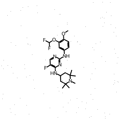 COc1ccc(Nc2ncc(F)c(NC3CC(C)(C)N(C)C(C)(C)C3)n2)cc1OC(F)F